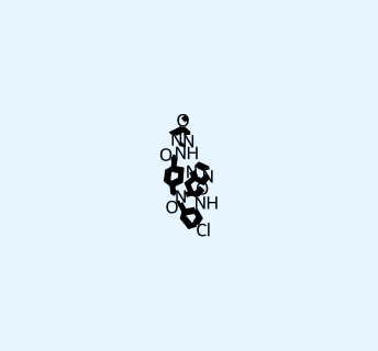 COc1cnc(NC(=O)c2ccc(CN3C(=O)c4ccc(Cl)cc4NC(=O)C3Cc3cnccn3)cc2)nc1